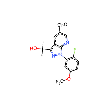 CC(C)(O)c1nn(-c2cc(OC(F)(F)F)ccc2F)c2ncc(C=O)cc12